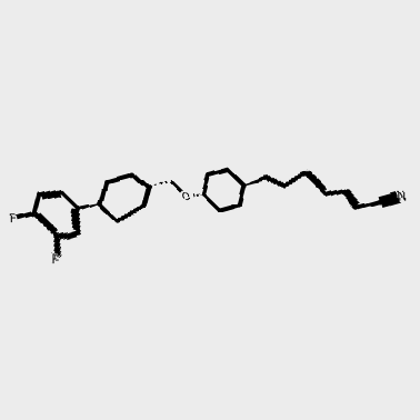 N#CC=CC=CCC[C@H]1CC[C@H](OC[C@H]2CC[C@H](c3ccc(F)c(F)c3)CC2)CC1